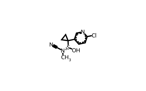 C[N+](C#N)=S(O)C1(c2ccc(Cl)nc2)CC1